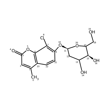 Cc1cc(=O)oc2c(Cl)c(O[C@@H]3CC(O)[C@H](O)C(CO)O3)ccc12